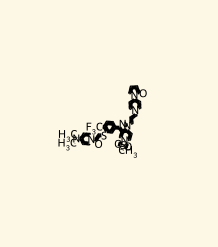 CN(C)C1CCN(C(=O)CSc2cc(-c3nn(CCCN4CCC(N5CCCC5=O)CC4)c4c3CN(S(C)(=O)=O)CC4)ccc2C(F)(F)F)CC1